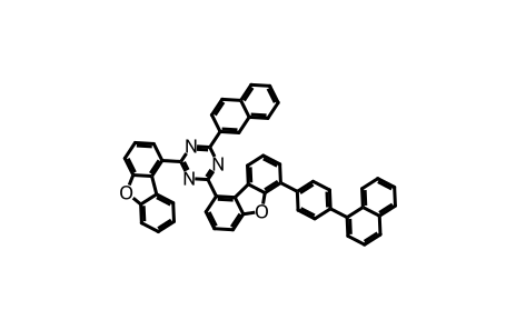 c1ccc2cc(-c3nc(-c4cccc5oc6ccccc6c45)nc(-c4cccc5oc6c(-c7ccc(-c8cccc9ccccc89)cc7)cccc6c45)n3)ccc2c1